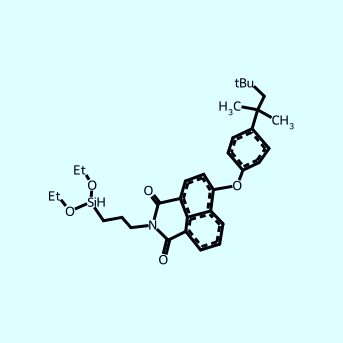 CCO[SiH](CCCN1C(=O)c2cccc3c(Oc4ccc(C(C)(C)CC(C)(C)C)cc4)ccc(c23)C1=O)OCC